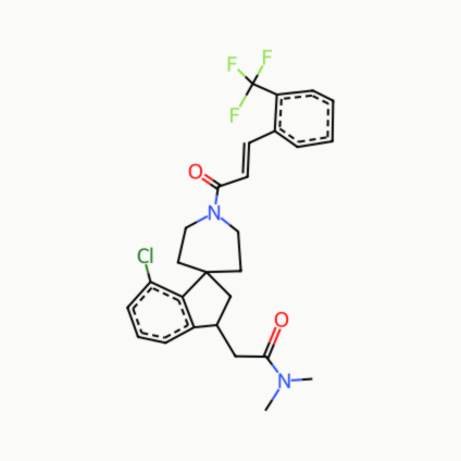 CN(C)C(=O)CC1CC2(CCN(C(=O)/C=C/c3ccccc3C(F)(F)F)CC2)c2c(Cl)cccc21